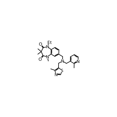 CCN1C(=O)C(C)(C)C(=O)N(C)c2cc(CN(Cc3cccnc3C)Cc3scnc3C)ccc21